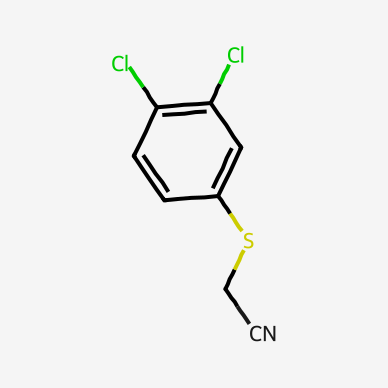 N#CCSc1ccc(Cl)c(Cl)c1